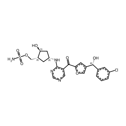 NS(=O)(=O)OC[C@H]1C[C@@H](Nc2ncncc2C(=O)c2cc([C@H](O)c3cccc(Cl)c3)co2)C[C@@H]1O